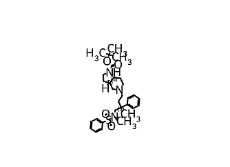 CN(C[C@@](C)(CCN1CC[C@H]2[C@H](CCN2C(=O)OC(C)(C)C)C1)c1ccccc1)S(=O)(=O)c1ccccc1